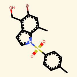 Cc1ccc(S(=O)(=O)n2ccc3c(CO)c(Br)cc(C)c32)cc1